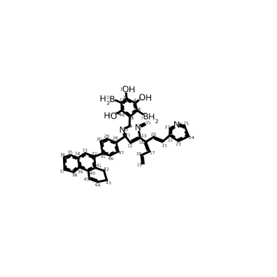 Bc1c(O)c(O)c(B)c(C/N=C(\C=C(/N=C)C(=CC=C)/C=C/c2cccnc2)c2ccc(-c3cc4ccccc4c4c3CCC=C4)cc2)c1O